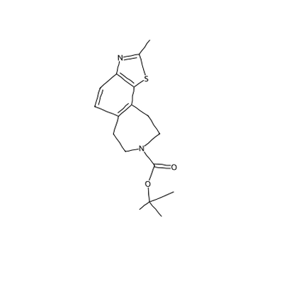 Cc1nc2ccc3c(c2s1)CCN(C(=O)OC(C)(C)C)CC3